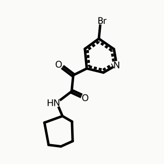 O=C(NC1CCCCC1)C(=O)c1cncc(Br)c1